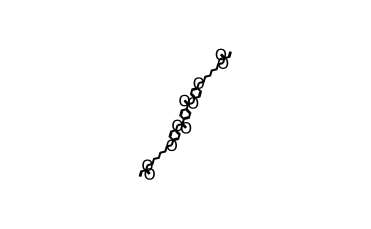 C=CC(=O)OCCCCCCOc1ccc(OC(=O)c2ccc(C(=O)Oc3ccc(OCCCCCCOC(=O)C=C)cc3)cc2)cc1